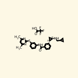 Cc1cc(C)nc(Sc2cccc(NC(=O)c3cccc([C@@H]4C[C@H]4NCC4CC4)c3)c2)n1.O=C(O)C(F)(F)F